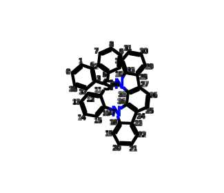 c1ccc([Si]2(c3ccccc3)c3ccccc3-n3c4ccccc4c4ccc5c6ccccc6n2c5c43)cc1